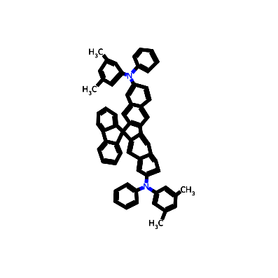 Cc1cc(C)cc(N(c2ccccc2)c2ccc3cc4c(cc3c2)C2(c3ccccc3-c3ccccc32)c2cc3cc(N(c5ccccc5)c5cc(C)cc(C)c5)ccc3cc2-4)c1